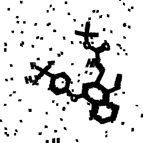 C=Cc1c(CNC(=O)OC(C)(C)C)cc(Oc2ccc(C(F)(F)P)cc2)c2ncccc12